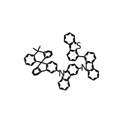 CC1(C)c2ccccc2C2(c3ccccc3-c3cc(-n4c5ccccc5c5cc(-n6c7ccccc7c7cccc(-c8cccc9c8sc8ccccc89)c76)ccc54)ccc32)c2ccccc21